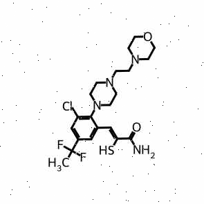 CC(F)(F)c1cc(Cl)c(N2CCN(CCN3CCOCC3)CC2)c(/C=C(\S)C(N)=O)c1